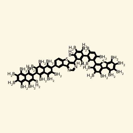 Bc1cc(B)c(-c2c(B)c(B)c(B)c3c2sc2c(B)c(B)c(B)c(B)c23)c(B)c1-c1c(B)c(B)c(B)c(-c2ncnc3c2sc2ccc(-c4c(B)c(B)c5c(B)c(-c6c(B)c(B)c7c(B)c(B)c(B)c(B)c7c6B)c(B)c(B)c5c4B)cc23)c1B